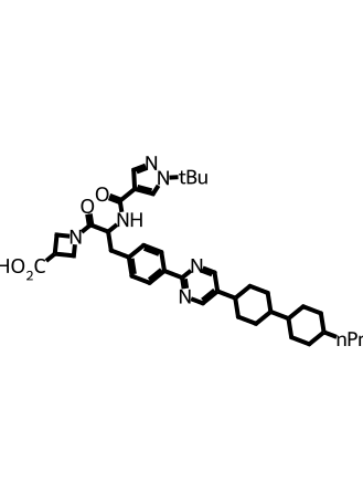 CCCC1CCC(C2CCC(c3cnc(-c4ccc(CC(NC(=O)c5cnn(C(C)(C)C)c5)C(=O)N5CC(C(=O)O)C5)cc4)nc3)CC2)CC1